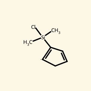 C[Si](C)(Cl)C1=[C]CC=C1